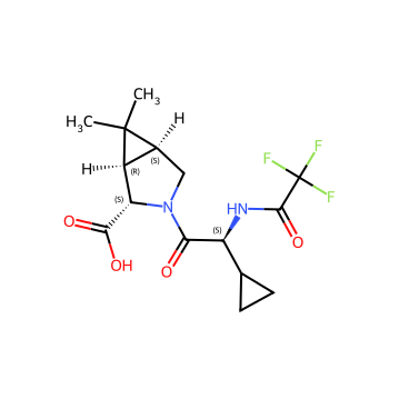 CC1(C)[C@@H]2[C@@H](C(=O)O)N(C(=O)[C@@H](NC(=O)C(F)(F)F)C3CC3)C[C@@H]21